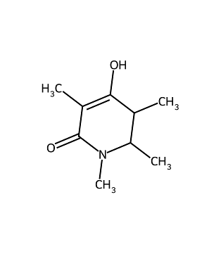 CC1=C(O)C(C)C(C)N(C)C1=O